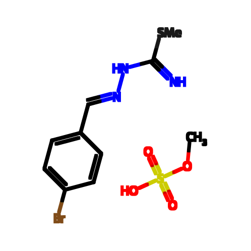 COS(=O)(=O)O.CSC(=N)NN=Cc1ccc(Br)cc1